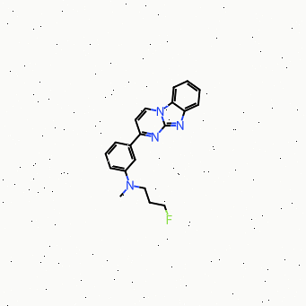 CN(CCCF)c1cccc(-c2ccn3c(n2)nc2ccccc23)c1